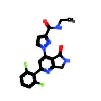 CCNC(=O)c1ccn(-c2cc(-c3c(F)cccc3F)nc3c2C(=O)NC3)n1